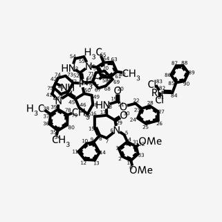 COc1ccc(CN2CC(c3ccccc3)=CCC(NC(=O)OCc3ccccc3)C2=O)c(OC)c1.Cc1cc(C)c(N2CCNC2=C2CCCCC2P(=C2NCCN2c2c(C)cc(C)cc2C)(C2CCCCC2)C2CCCCC2)c(C)c1.[Cl][Ru]([Cl])=[CH]c1ccccc1